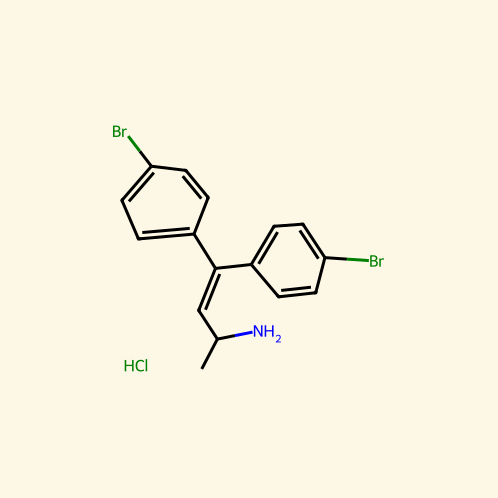 CC(N)C=C(c1ccc(Br)cc1)c1ccc(Br)cc1.Cl